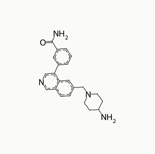 NC(=O)c1cccc(-c2cncc3ccc(CN4CCC(N)CC4)cc23)c1